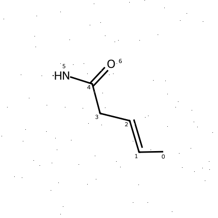 CC=CCC([NH])=O